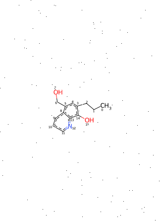 CCCc1cc(CO)c2cccnc2c1O